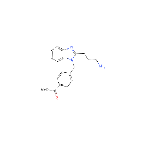 COC(=O)c1ccc(Cn2c(CCCN)nc3ccccc32)cc1